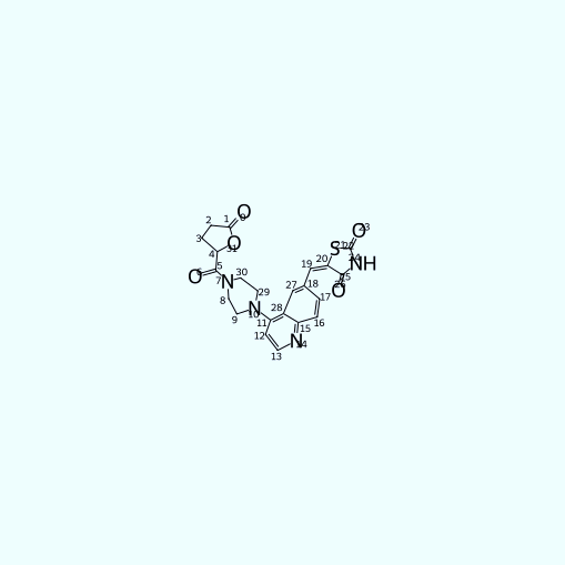 O=C1CCC(C(=O)N2CCN(c3ccnc4ccc(C=C5SC(=O)NC5=O)cc34)CC2)O1